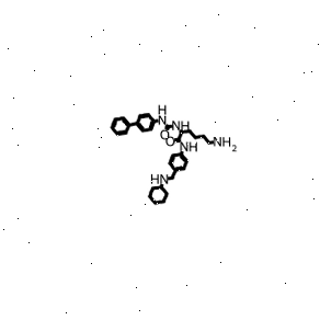 NCCCCC(NC(=O)Nc1ccc(-c2ccccc2)cc1)C(=O)Nc1ccc(CNC2CCCCC2)cc1